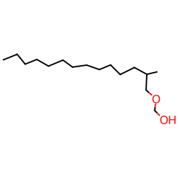 CCCCCCCCCCCCC(C)COCO